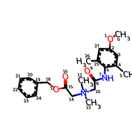 COc1cc(C)c(NC(=O)C[N+](C)(C)CC(=O)OCc2ccccc2)c(C)c1